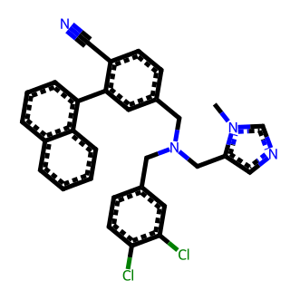 Cn1cncc1CN(Cc1ccc(Cl)c(Cl)c1)Cc1ccc(C#N)c(-c2cccc3ccccc23)c1